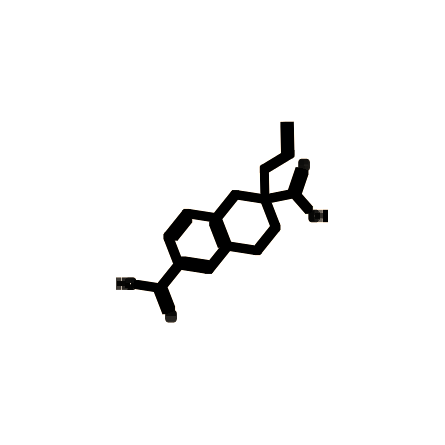 C=CCC1(C(=O)O)CCc2cc(C(=O)O)ccc2C1